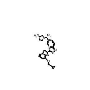 NC1CCN([C@@H](c2ccc3nnc(-c4ccc5cccc(OCC6CC6)c5n4)n3c2)C(F)(F)F)C1